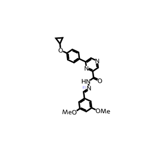 COc1cc(/C=N/NC(=O)c2cncc(-c3ccc(OC4CC4)cc3)n2)cc(OC)c1